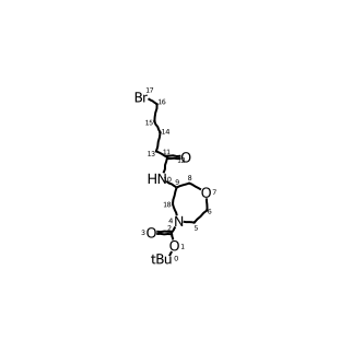 CC(C)(C)OC(=O)N1CCOCC(NC(=O)CCCCBr)C1